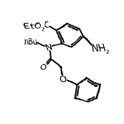 CCCCN(C(=O)COc1ccccc1)c1cc(N)ccc1C(=O)OCC